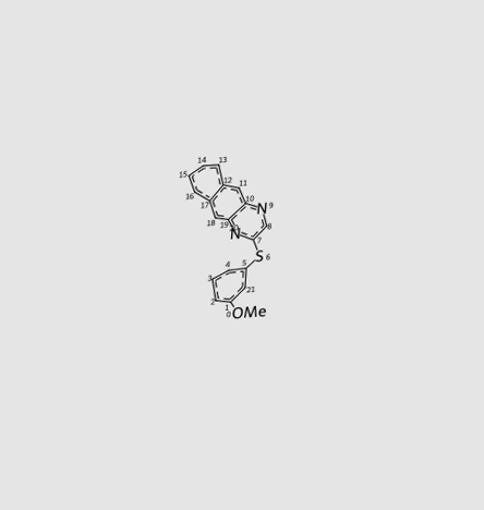 COc1cccc(Sc2cnc3cc4ccccc4cc3n2)c1